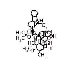 COc1c(C)cc2c(c1O)[C@@H]1C3[C@@H]4SC[C@]5(NCCc6c5[nH]c5ccccc65)C(=O)COC[C@@H](c5c6c(c(C)c(OC(=O)OC(C)(C)C)c54)OCO6)N3[C@@H](O)[C@H](C2)N1C